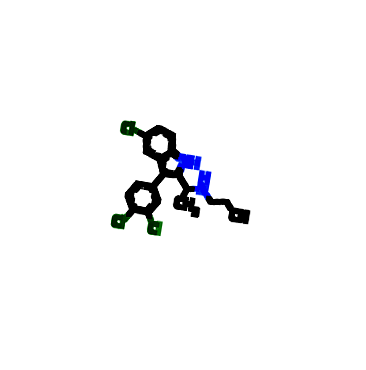 CC(NCCC#N)c1[nH]c2ccc(Cl)cc2c1-c1ccc(Cl)c(Cl)c1